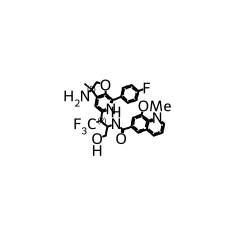 COc1cc(C(=O)NC(CO)[C@H](c2cc3c(c(-c4ccc(F)cc4)n2)OC[C@@]3(C)N)C(F)(F)F)cc2cccnc12